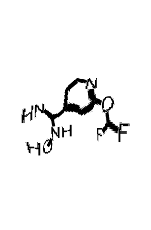 N=C(NO)c1ccnc(OC(F)F)c1